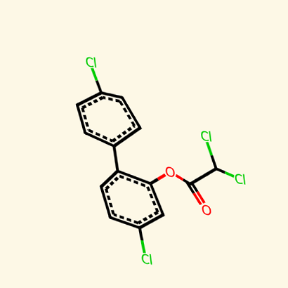 O=C(Oc1cc(Cl)ccc1-c1ccc(Cl)cc1)C(Cl)Cl